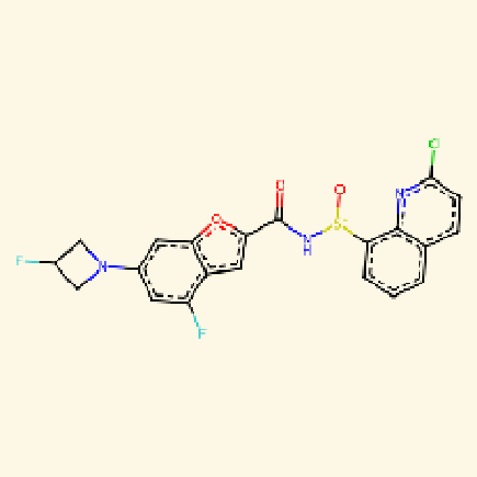 O=C(N[S+]([O-])c1cccc2ccc(Cl)nc12)c1cc2c(F)cc(N3CC(F)C3)cc2o1